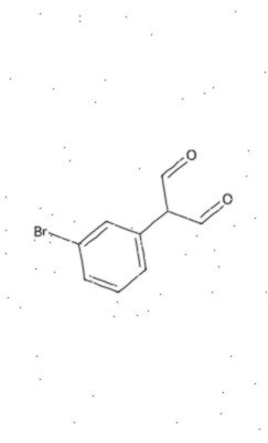 O=CC(C=O)c1cccc(Br)c1